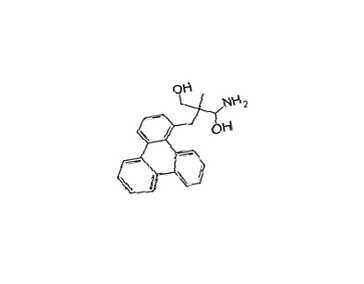 CC(CO)(Cc1cccc2c3ccccc3c3ccccc3c12)C(N)O